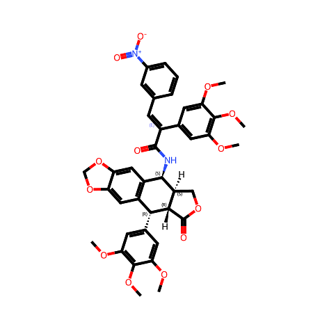 COc1cc(/C(=C\c2cccc([N+](=O)[O-])c2)C(=O)N[C@@H]2c3cc4c(cc3[C@@H](c3cc(OC)c(OC)c(OC)c3)[C@H]3C(=O)OC[C@@H]32)OCO4)cc(OC)c1OC